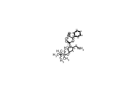 CC(C)(C)[Si](C)(C)OC1CC(CN)N(C(=O)OC(c2ccccc2)[N+](=O)[O-])C1